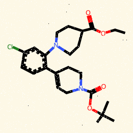 CCOC(=O)C1CCN(c2cc(Cl)ccc2C2=CCN(C(=O)OC(C)(C)C)CC2)CC1